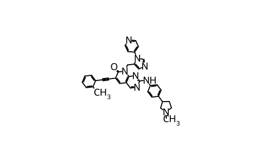 Cc1ccccc1C#Cc1cc2cnc(Nc3ccc(C4CCN(C)C4)cc3)nc2n(Cc2cncn2-c2ccncc2)c1=O